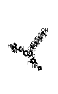 N#CCC(CN1CCC(Oc2cc(F)cc(CNC3CCC3)c2)CC1)n1cc(-c2ncnc3[nH]ccc23)cn1.O=C(O)C(F)(F)F.O=C(O)C(F)(F)F.O=C(O)C(F)(F)F.O=C(O)C(F)(F)F